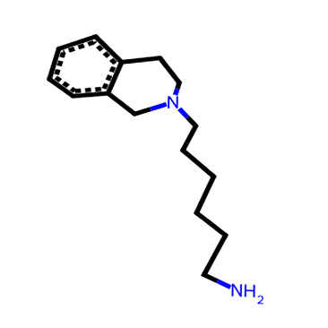 NCCCCCCN1CCc2ccccc2C1